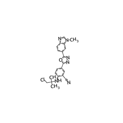 Cn1cnc2ccc(-c3nnc(-c4ccc(NC(C)(C)CCl)c(C#N)c4)o3)cc21